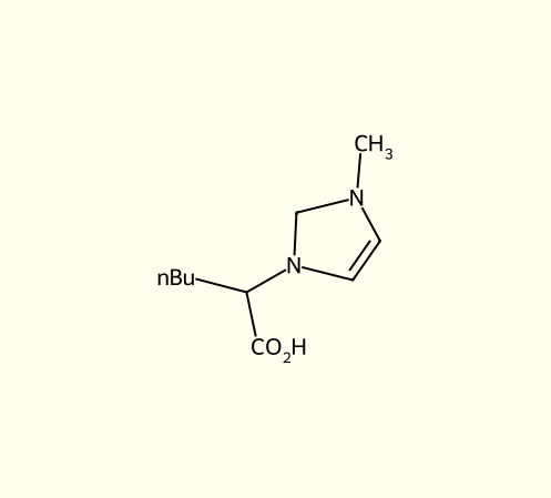 CCCCC(C(=O)O)N1C=CN(C)C1